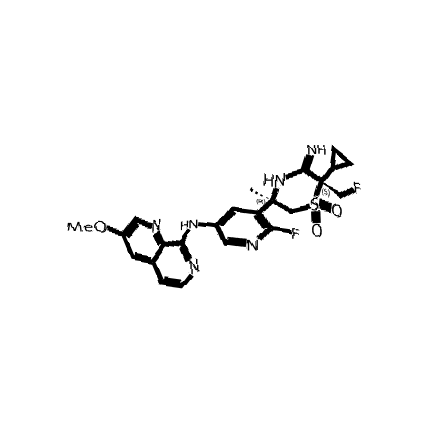 COc1cnc2c(Nc3cnc(F)c([C@]4(C)CS(=O)(=O)[C@@](CF)(C5CC5)C(=N)N4)c3)nccc2c1